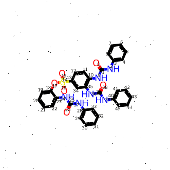 O=C(Nc1ccccc1)Nc1ccc(S(=O)(=O)Oc2ccccc2NC(=O)Nc2ccccc2)cc1NC(=O)Nc1ccccc1